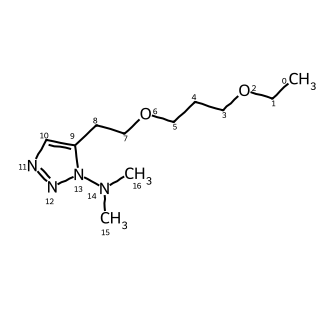 CCOCCCOCCc1cnnn1N(C)C